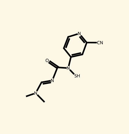 CN(C)C=NC(=O)N(S)c1ccnc(C#N)c1